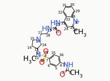 CC(=O)Nc1ccc(S(=O)(=O)N(C)C2CCN(CCNC(=O)Nc3cc(C)nc4ccccc34)C2)cc1